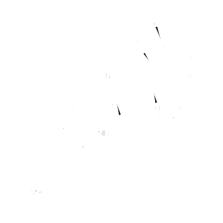 COc1ccc2c3c([nH]c2c1)[C@H]1C[C@H]2C(OC(C)=O)=CO[C@H](C)[C@H]2CN1CC3